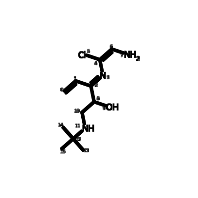 C=C/C(=N\C(Cl)=C/N)C(O)CNC(C)(C)C